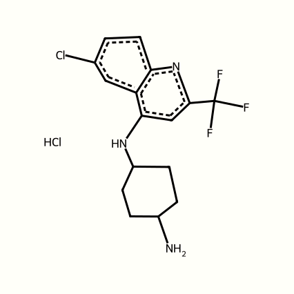 Cl.NC1CCC(Nc2cc(C(F)(F)F)nc3ccc(Cl)cc23)CC1